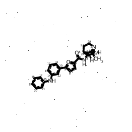 C[C@H]1[C@H](NC(=O)c2ccc(-c3cccc(Nc4ccccc4)c3)o2)C2CCN1CC2